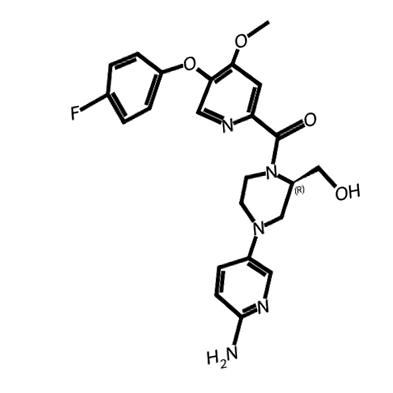 COc1cc(C(=O)N2CCN(c3ccc(N)nc3)C[C@@H]2CO)ncc1Oc1ccc(F)cc1